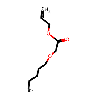 C=CCOC(=O)COCCCCC(C)C